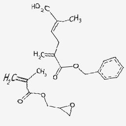 C=C(C)C(=O)OCC1CO1.C=C(CC=C(C)C(=O)O)C(=O)OCc1ccccc1